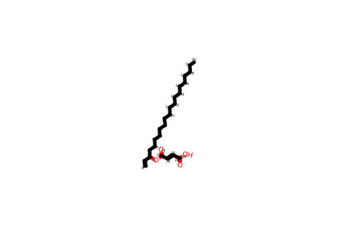 C=CC(CCCCCCCCCCCCCCCCCC)OC(=O)C=CC(=O)O